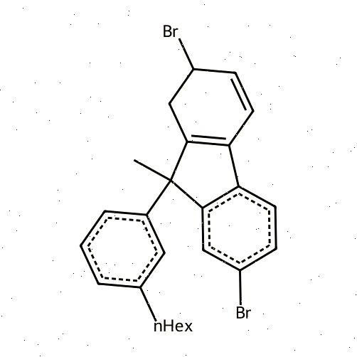 CCCCCCc1cccc(C2(C)C3=C(C=CC(Br)C3)c3ccc(Br)cc32)c1